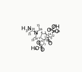 CC1(C)C2CCC1(CS(=O)(=O)O)C(=O)C2.CCN(CC)CC.CS(=O)(=O)O.N